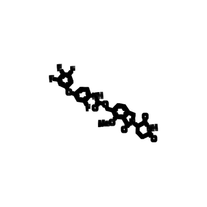 COc1c(COC(=O)Nc2ccc(Oc3cc(F)c(F)c(F)c3)cc2F)ccc2c1C(=O)N(C1CCC(=O)NC1=O)C2